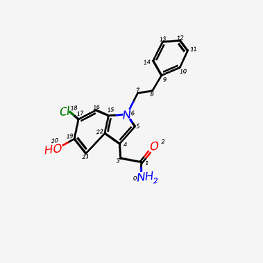 NC(=O)Cc1cn(CCc2ccccc2)c2cc(Cl)c(O)cc12